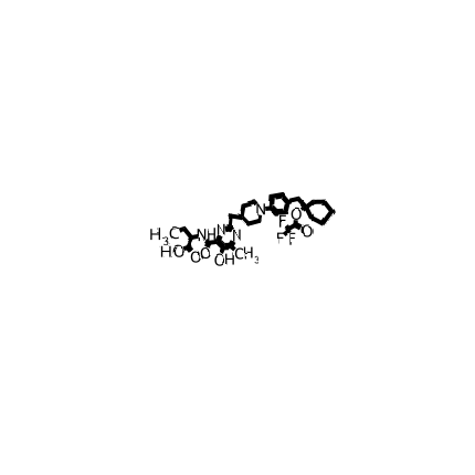 CCC(NC(=O)c1nc(CC2CCN(c3ccc(CC4(OC(=O)C(F)(F)F)CCCCC4)cc3)CC2)nc(C)c1O)C(=O)O